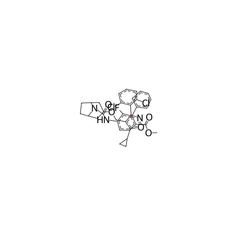 COC(=O)c1ccc(NC(=O)N2C3CCC2CC(OCc2c(-c4c(Cl)cccc4Cl)noc2C2CC2)C3)c(F)c1-c1ccccc1